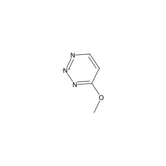 COC1=N[N+]=NC=C1